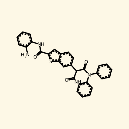 NC(=O)C(C(=O)N(c1ccccc1)c1ccccc1)c1ccc2cc(C(=O)Nc3ccccc3N)sc2c1